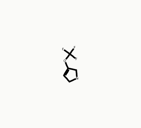 FC(F)(F)OC1=CC[N]C1